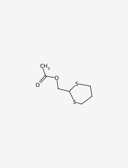 CC(=O)OCC1SCCCS1